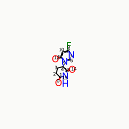 O=C1CCC(n2cnc(F)cc2=O)C(=O)N1